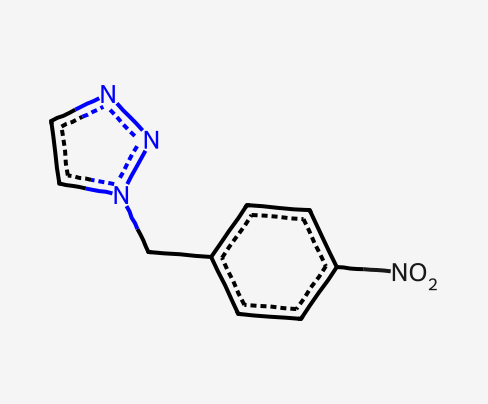 O=[N+]([O-])c1ccc(Cn2ccnn2)cc1